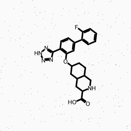 O=C(O)C1CC2CC(Oc3cc(-c4ccccc4F)ccc3-c3nn[nH]n3)CCC2CN1